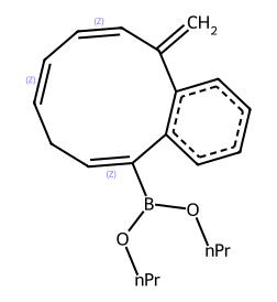 C=C1/C=C\C=C/C/C=C(/B(OCCC)OCCC)c2ccccc21